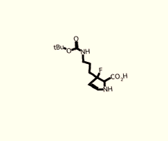 CC(C)(C)OC(=O)NCCCC1(F)C=CNC1C(=O)O